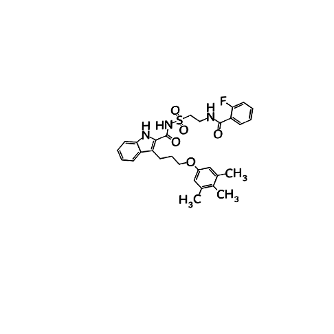 Cc1cc(OCCCc2c(C(=O)NS(=O)(=O)CCNC(=O)c3ccccc3F)[nH]c3ccccc23)cc(C)c1C